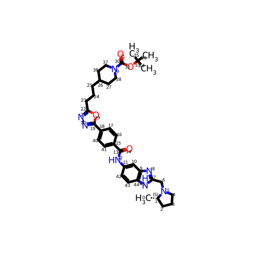 C[C@H]1CCCN1Cc1nc2cc(NC(=O)c3ccc(-c4nnc(CCCC5CCN(C(=O)OC(C)(C)C)CC5)o4)cc3)ccc2[nH]1